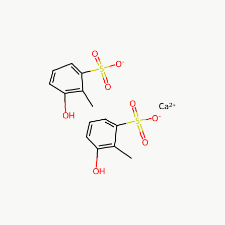 Cc1c(O)cccc1S(=O)(=O)[O-].Cc1c(O)cccc1S(=O)(=O)[O-].[Ca+2]